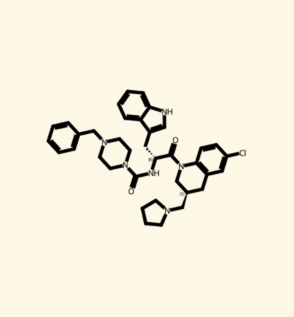 O=C(N[C@H](Cc1c[nH]c2ccccc12)C(=O)N1C[C@H](CN2CCCC2)Cc2cc(Cl)ccc21)N1CCN(Cc2ccccc2)CC1